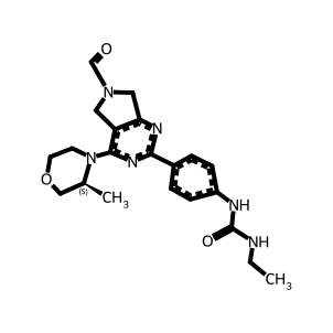 CCNC(=O)Nc1ccc(-c2nc3c(c(N4CCOC[C@@H]4C)n2)CN(C=O)C3)cc1